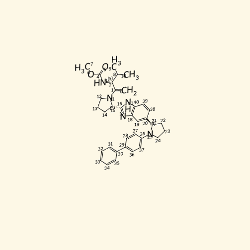 C=C([C@@H](NC(=O)OC)C(C)C)N1CCC[C@H]1c1nc2cc([C@H]3CCCN3c3ccc(-c4ccccc4)cc3)ccc2[nH]1